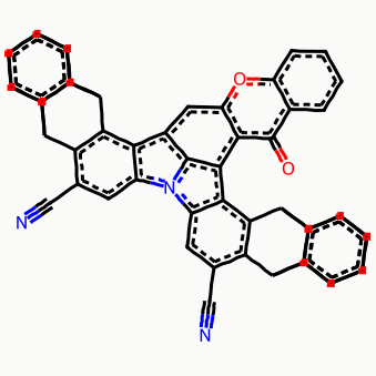 N#Cc1cc2c(c3c1C1c4ccccc4C3c3ccccc31)c1cc3oc4ccccc4c(=O)c3c3c4c5c(c(C#N)cc4n2c13)C1c2ccccc2C5c2ccccc21